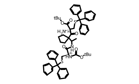 CC(NC(=O)[C@H](CSC(c1ccccc1)(c1ccccc1)c1ccccc1)NC(=O)OC(C)(C)C)C1(C(=O)[C@](N)(CSC(c2ccccc2)(c2ccccc2)c2ccccc2)C(=O)OC(C)(C)C)CCCC1